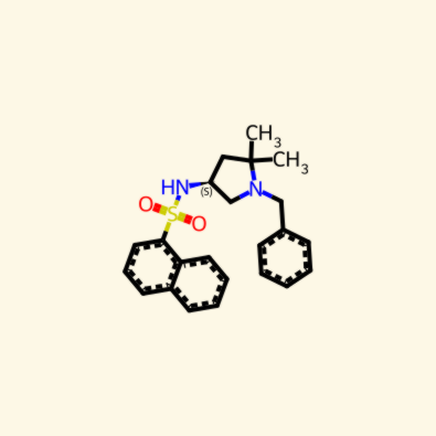 CC1(C)C[C@H](NS(=O)(=O)c2cccc3ccccc23)CN1Cc1ccccc1